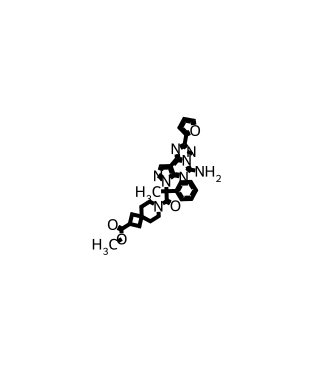 COC(=O)C1CC2(CCN(C(=O)C(C)(c3ccccc3)n3ncc4c3nc(N)n3nc(-c5ccco5)nc43)CC2)C1